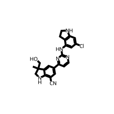 CC1(CO)CNc2c(C#N)cc(-c3ccnc(Nc4cc(Cl)cc5c4CCN5)n3)cc21